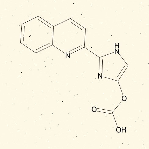 O=C(O)Oc1c[nH]c(-c2ccc3ccccc3n2)n1